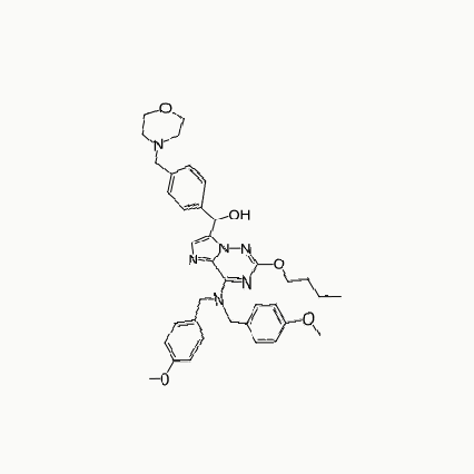 CCCCOc1nc(N(Cc2ccc(OC)cc2)Cc2ccc(OC)cc2)c2ncc(C(O)c3ccc(CN4CCOCC4)cc3)n2n1